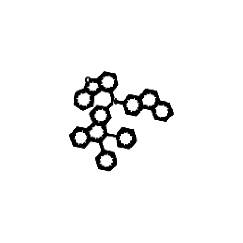 c1ccc(-c2c(-c3ccccc3)c3cc(N(c4ccc5c(ccc6ccccc65)c4)c4cccc5oc6ccccc6c45)ccc3c3ccccc23)cc1